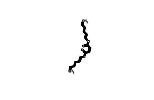 C=CCCC=COC(=O)/C=C\C(=O)OC=CCCC=C